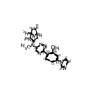 [2H][C@]12C[C@@H](N(C)c3cnc(-c4ccc(-n5ccnc5)cc4O)nn3)[C@H](F)[C@]([2H])(C[C@H]1F)N2